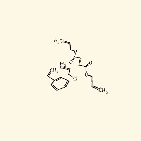 C=CCCl.C=CCOC(=O)C=CC(=O)OCC=C.C=Cc1ccccc1